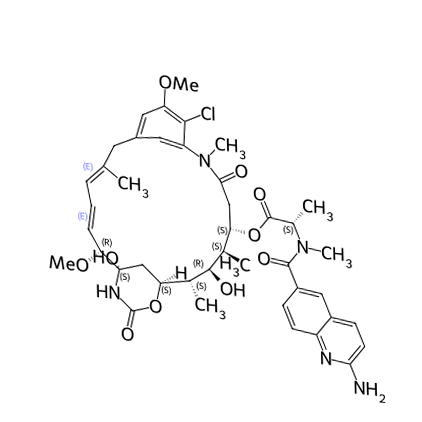 COc1cc2cc(c1Cl)N(C)C(=O)C[C@H](OC(=O)[C@H](C)N(C)C(=O)c1ccc3nc(N)ccc3c1)[C@@H](C)[C@@H](O)[C@H](C)[C@@H]1C[C@@](O)(NC(=O)O1)[C@H](OC)/C=C/C=C(\C)C2